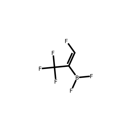 FC=C(B(F)F)C(F)(F)F